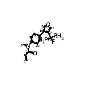 C=CC(=O)N(C)c1ccc(-c2nocc2C(F)(P)P)cc1